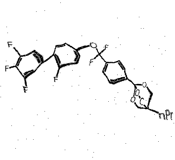 CCCC12COC(c3ccc(C(F)(F)Oc4ccc(-c5cc(F)c(F)c(F)c5)c(F)c4)cc3)(OC1)OC2